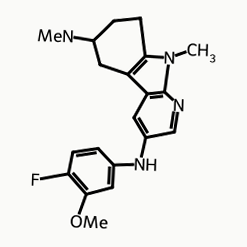 CNC1CCc2c(c3cc(Nc4ccc(F)c(OC)c4)cnc3n2C)C1